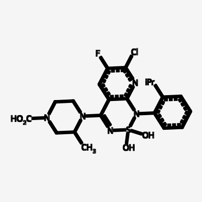 CC(C)c1ccccc1N1c2nc(Cl)c(F)cc2C(N2CCN(C(=O)O)CC2C)=NS1(O)O